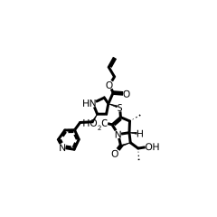 C=CCOC(=O)[C@@]1(SC2=C(C(=O)O)N3C(=O)[C@H]([C@@H](C)O)[C@H]3[C@H]2C)CN[C@H](CCc2ccncc2)C1